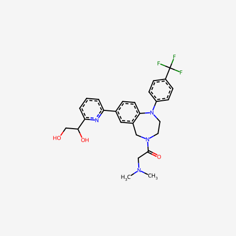 CN(C)CC(=O)N1CCN(c2ccc(C(F)(F)F)cc2)c2ccc(-c3cccc(C(O)CO)n3)cc2C1